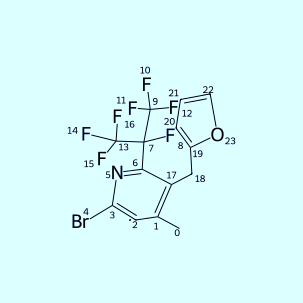 Cc1[c]c(Br)nc(C(F)(C(F)(F)F)C(F)(F)F)c1Cc1ccco1